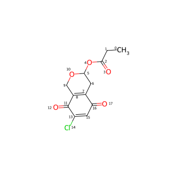 CCC(=O)OC1CC2=C(CO1)C(=O)C(Cl)=CC2=O